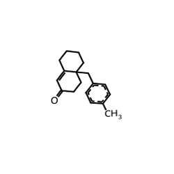 Cc1ccc(CC23CCCCC2=CC(=O)CC3)cc1